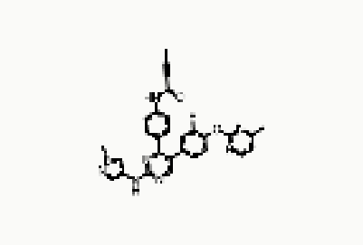 CC#CC(=O)Nc1ccc(-c2nc(Nc3cnn(C)c3)ncc2-c2ccc(Oc3nccc(C)n3)c(F)c2)cc1